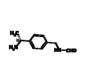 C[C@@H](N)c1ccc(CNC=O)cc1